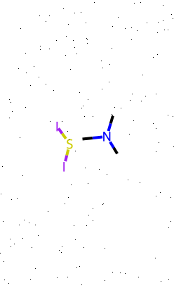 CN(C)C.ISI